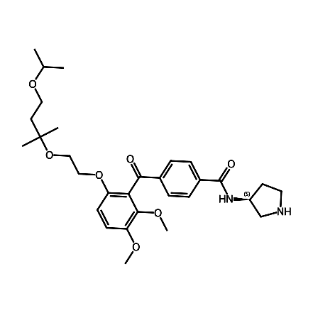 COc1ccc(OCCOC(C)(C)CCOC(C)C)c(C(=O)c2ccc(C(=O)N[C@H]3CCNC3)cc2)c1OC